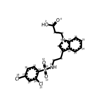 O=C(O)CCn1cc(CCNS(=O)(=O)c2ccc(Cl)cc2Cl)c2ccccc21